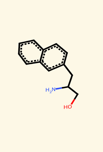 NC(CO)Cc1ccc2ccccc2c1